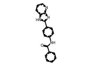 O=C(Nc1ccc(-c2nc3ncccc3[nH]2)cc1)c1ccccc1